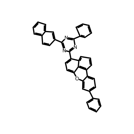 c1ccc(-c2ccc3c(c2)Oc2ccc(-c4nc(-c5ccccc5)nc(-c5ccc6ccccc6c5)n4)c4cccc-3c24)cc1